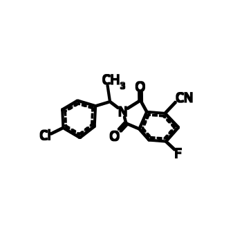 CC(c1ccc(Cl)cc1)N1C(=O)c2cc(F)cc(C#N)c2C1=O